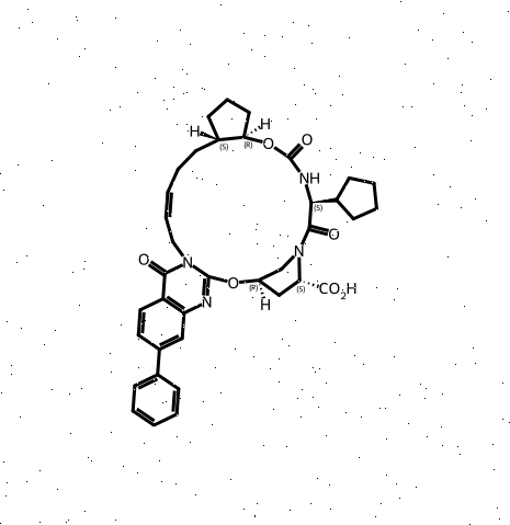 O=C1N[C@@H](C2CCCC2)C(=O)N2C[C@@H](C[C@H]2C(=O)O)Oc2nc3cc(-c4ccccc4)ccc3c(=O)n2CC=CCC[C@@H]2CCC[C@H]2O1